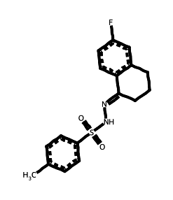 Cc1ccc(S(=O)(=O)NN=C2CCCc3cc(F)ccc32)cc1